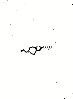 C=CCN1CCc2cc(C(=O)OCC)sc2CC1